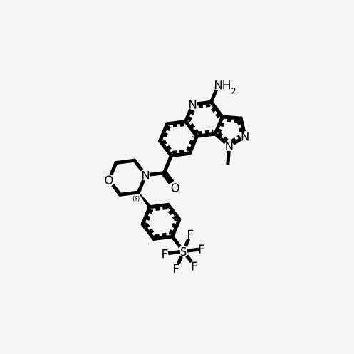 Cn1ncc2c(N)nc3ccc(C(=O)N4CCOC[C@@H]4c4ccc(S(F)(F)(F)(F)F)cc4)cc3c21